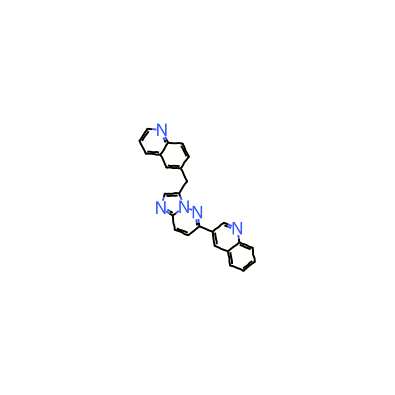 c1cnc2ccc(Cc3cnc4ccc(-c5cnc6ccccc6c5)nn34)cc2c1